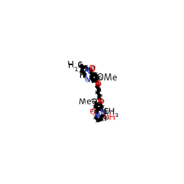 C=C1C[C@H]2C=Nc3cc(OCCCCCOc4cc5c(cc4OC)C(=O)N4CCC[C@H]4[C@H](O)N5C)c(OC)cc3C(=O)N2C1